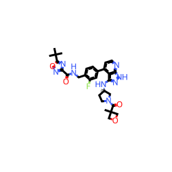 CC1(C(=O)N2CC[C@H](Nc3n[nH]c4nccc(-c5ccc(CNC(=O)c6noc(C(C)(C)C)n6)c(F)c5)c34)C2)COC1